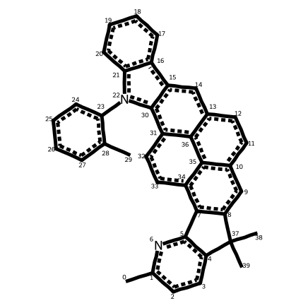 Cc1ccc2c(n1)-c1c(cc3ccc4cc5c6ccccc6n(-c6ccccc6C)c5c5ccc1c3c45)C2(C)C